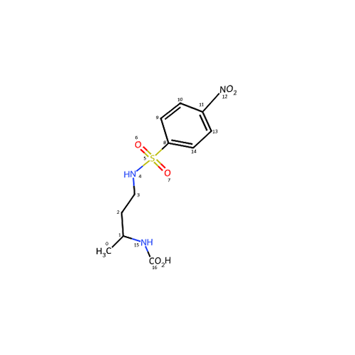 CC(CCNS(=O)(=O)c1ccc([N+](=O)[O-])cc1)NC(=O)O